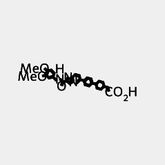 COc1ccc(CNC(=O)c2cn3cc(-c4ccc(C5CCC(CC(=O)O)CC5)cc4)ccc3n2)cc1OC